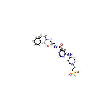 CS(=O)(=O)CCN1CCC(Nc2cc(C(=O)NC[C@H](O)CN3CCc4ccccc4C3)ncn2)CC1